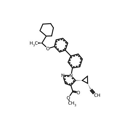 C#C[C@H]1C[C@H]1c1c(C(=O)OC)cnn1-c1cccc(-c2cccc(O[C@@H](C)C3CCCCC3)c2)c1